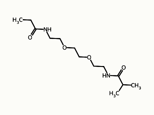 CCC(=O)NCCOCCOCCNC(=O)C(C)C